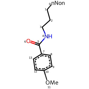 CCCCCCCCCCCCNC(=O)c1ccc(OC)cc1